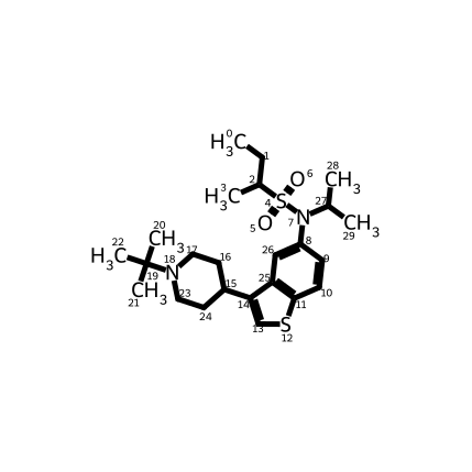 CCC(C)S(=O)(=O)N(c1ccc2scc(C3CCN(C(C)(C)C)CC3)c2c1)C(C)C